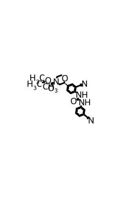 CC(C)(C)OC(=O)N1CCO[C@@H](c2ccc(NC(=O)Nc3cccc(C#N)c3)c(C#N)c2)C1